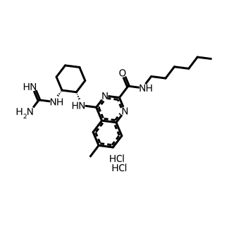 CCCCCCNC(=O)c1nc(N[C@H]2CCCC[C@H]2NC(=N)N)c2cc(C)ccc2n1.Cl.Cl